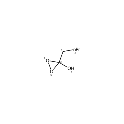 CCCCC1(O)OO1